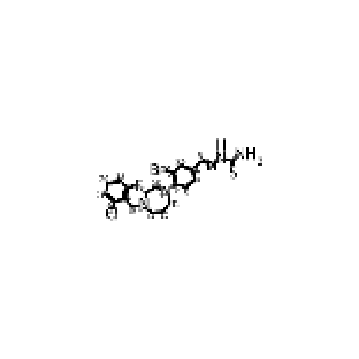 NC(=S)NN=Cc1ccc(N2CCCN(Cc3c(F)cccc3Cl)CC2)c(Br)c1